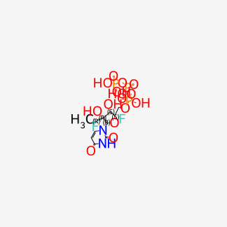 C[C@@H](F)[C@]1(O)[C@H](n2ccc(=O)[nH]c2=O)O[C@](F)(COP(=O)(O)OP(=O)(O)OP(=O)(O)O)[C@H]1O